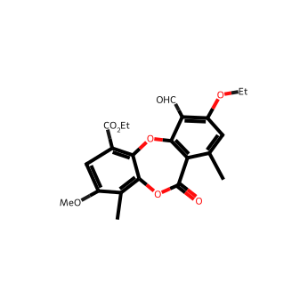 CCOC(=O)c1cc(OC)c(C)c2c1Oc1c(C=O)c(OCC)cc(C)c1C(=O)O2